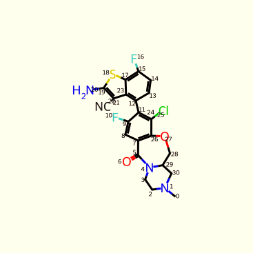 CN1CCN2C(=O)c3cc(F)c(-c4ccc(F)c5sc(N)c(C#N)c45)c(Cl)c3OCC2C1